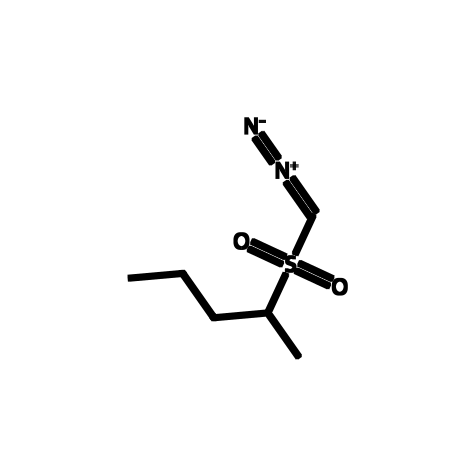 CCCC(C)S(=O)(=O)C=[N+]=[N-]